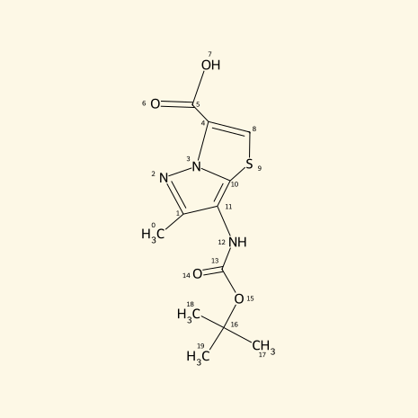 Cc1nn2c(C(=O)O)csc2c1NC(=O)OC(C)(C)C